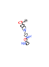 CC(C)C(=O)c1ccc2c(c1)CCN(CCC1CCC(NC(=O)Cc3c[nH]c4ccccc34)CC1)CC2